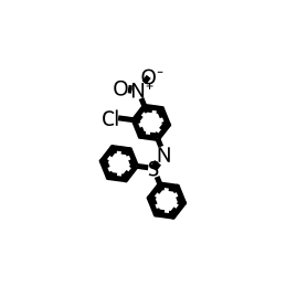 O=[N+]([O-])c1ccc(N=S(c2ccccc2)c2ccccc2)cc1Cl